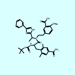 COc1ccc(CCN(C(=O)C(Cc2c(C)cc(C(N)=O)cc2C)NC(=O)OC(C)(C)C)C(C)c2nc(-c3ccccc3)c[nH]2)cc1C(=O)O